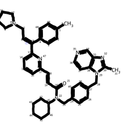 Cc1ccc(/C(=C\CN2CCCC2)c2cccc(C=CC(=O)N(Cc3ccc(Cn4c(C)nc5cnccc54)cc3)C3CCCCC3)n2)cc1